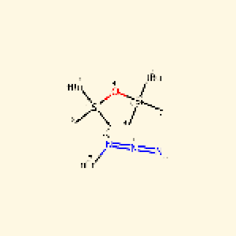 CC(C)(C)[Si](C)(C)O[Si](C)(C)C(C)(C)C.CCCN=[N+]=[N-]